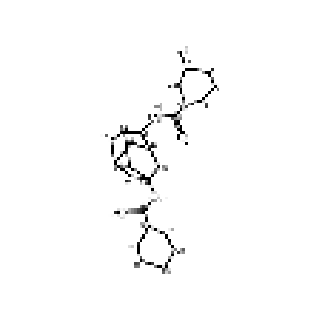 C[C@H]1CCCN(C(=O)NC2C3CC4CC2CC(OC(=O)C2CCCCC2)(C4)C3)C1